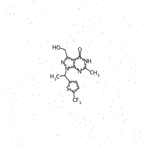 Cc1nc2c(c(CO)nn2C(C)c2ccc(C(F)(F)F)s2)c(=O)[nH]1